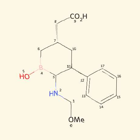 COCNC1B(O)C[C@H](CC(=O)O)CC1c1ccccc1